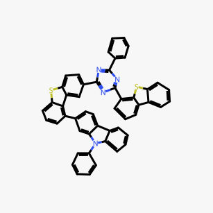 c1ccc(-c2nc(-c3ccc4sc5cccc(-c6ccc7c8ccccc8n(-c8ccccc8)c7c6)c5c4c3)nc(-c3cccc4c3sc3ccccc34)n2)cc1